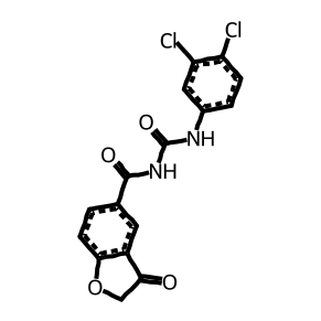 O=C(NC(=O)c1ccc2c(c1)C(=O)CO2)Nc1ccc(Cl)c(Cl)c1